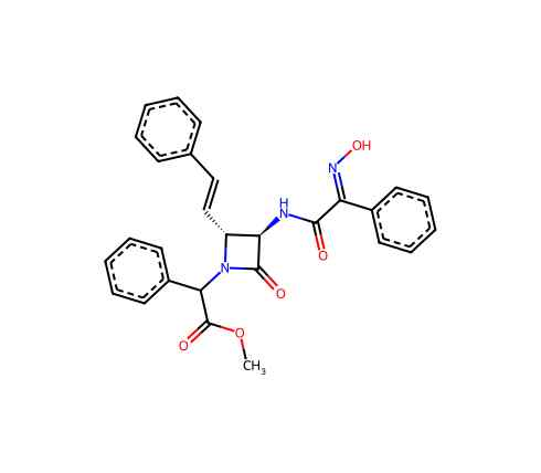 COC(=O)C(c1ccccc1)N1C(=O)[C@H](NC(=O)C(=NO)c2ccccc2)[C@H]1C=Cc1ccccc1